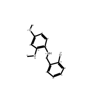 COc1ccc(NCc2ccccc2[O])c(OC)c1